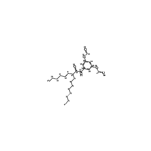 CCCCCCCCC(CCCCCC)C(=O)Nc1cc(OC=O)cc(OC=O)c1